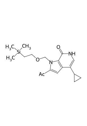 CC(=O)c1cc2c(C3CC3)c[nH]c(=O)c2n1COCC[Si](C)(C)C